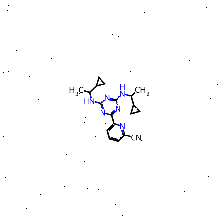 CC(Nc1nc(NC(C)C2CC2)nc(-c2cccc(C#N)n2)n1)C1CC1